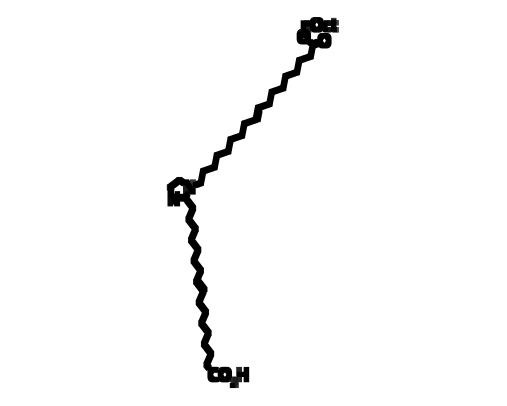 CCCCCCCCOC(=O)CCCCCCCC=CCCCCCCCCN1CCN=C1CCCCCCCC=CCCCCCCCC(=O)O